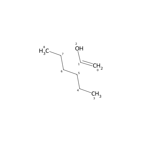 C=CO.CCCCCC